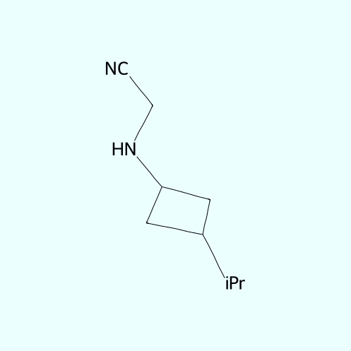 CC(C)C1CC(NCC#N)C1